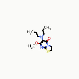 CCCN(CCC)c1c(OC)nc2n(c1=O)CCS2